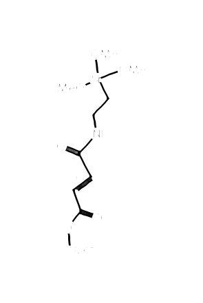 CCCCCCCCOC(=O)/C=C/C(=O)NCC[Si](OC)(OC)OC